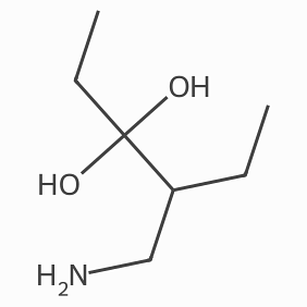 CCC(CN)C(O)(O)CC